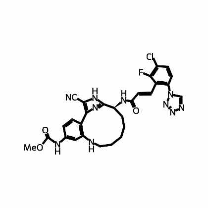 COC(=O)Nc1ccc2c(c1)NCCCCC[C@H](NC(=O)/C=C/c1c(-n3cnnn3)ccc(Cl)c1F)c1nc-2c(C#N)[nH]1